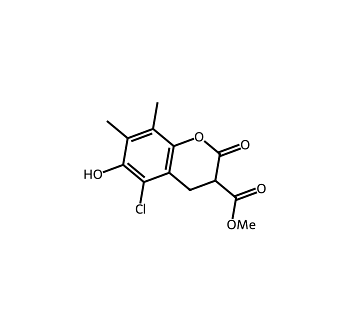 COC(=O)C1Cc2c(Cl)c(O)c(C)c(C)c2OC1=O